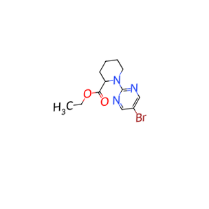 CCOC(=O)C1CCCCN1c1ncc(Br)cn1